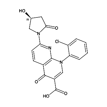 O=C(O)c1cn(-c2ccccc2Cl)c2nc(N3C[C@@H](O)CC3=O)ccc2c1=O